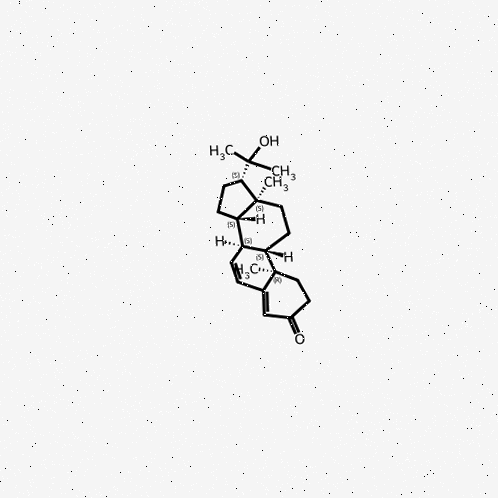 CC(C)(O)[C@H]1CC[C@H]2[C@@H]3C=CC4=CC(=O)CC[C@]4(C)[C@H]3CC[C@]12C